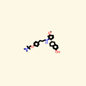 COc1ccc([C@H]2CCc3cc(O)ccc3C2)c(NCCCc2ccc(OCC(C)(C)N(C)C)cc2)c1